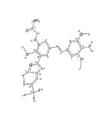 COc1cc(C=Cc2cc(OCC(N)=O)c(OC)c(-c3nc4ccc(C(F)(F)F)cc4s3)c2)cc(OC)c1OC